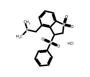 CN(C)Cc1cccc2c1C(S(=O)(=O)c1ccccc1)CS2(=O)=O.Cl